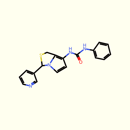 O=C(Nc1ccccc1)Nc1ccn2c1CSC2c1cccnc1